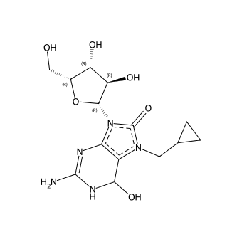 NC1=Nc2c(n(CC3CC3)c(=O)n2[C@@H]2O[C@H](CO)[C@H](O)[C@H]2O)C(O)N1